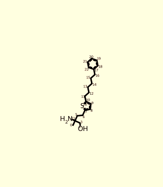 CC(N)(CO)CCc1ccc(CCCCCCc2ccccc2)s1